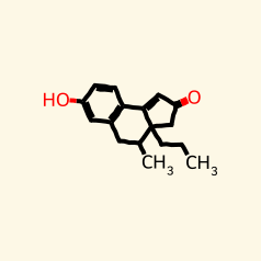 CCCC12CC(=O)C=C1c1ccc(O)cc1CC2C